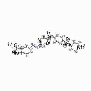 Cc1n[nH]c2ccc(/C=C/c3cnc(Nc4ccc(S(=O)(=O)N5CCNCC5)cc4)cn3)cc12